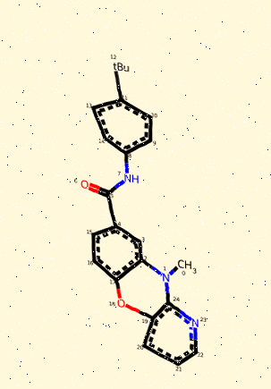 CN1c2cc(C(=O)Nc3ccc(C(C)(C)C)cc3)ccc2Oc2cccnc21